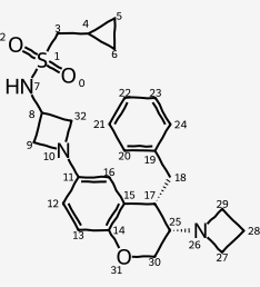 O=S(=O)(CC1CC1)NC1CN(c2ccc3c(c2)[C@H](Cc2ccccc2)[C@H](N2CCC2)CO3)C1